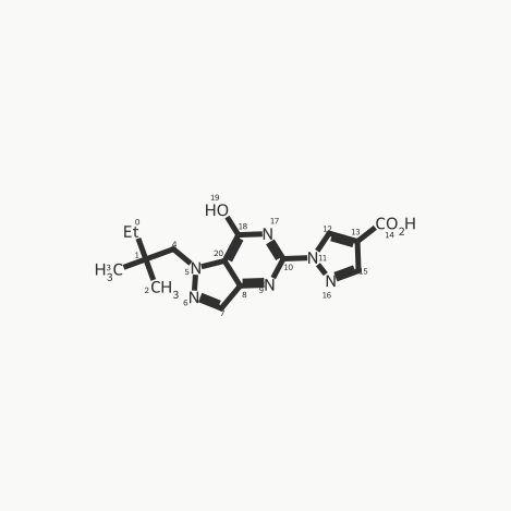 CCC(C)(C)Cn1ncc2nc(-n3cc(C(=O)O)cn3)nc(O)c21